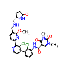 COc1nc(-c2nccc(-c3cccc(NC(=O)c4cn(C)c(=O)n(C)c4=O)c3Cl)c2Cl)ccc1CNC[C@@H]1CCC(=O)N1